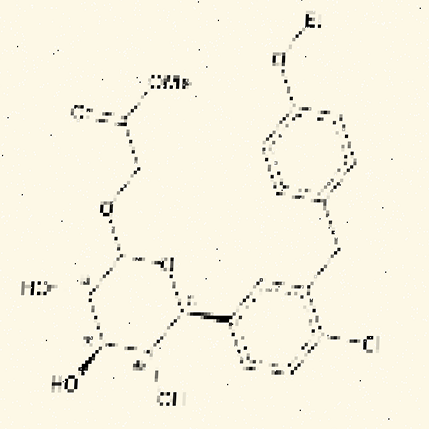 CCOc1ccc(Cc2cc([C@@H]3OC(OCC(=O)OC)[C@@H](O)[C@H](O)[C@H]3O)ccc2Cl)cc1